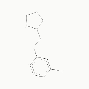 Brc1cccc(SCC2CCCC2)c1